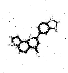 O=c1cc(-c2ccc3c(c2)OCO3)oc2c1ccc1occc12